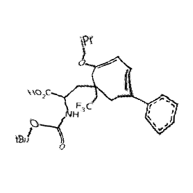 CC(C)OC1=CC=C(c2ccccc2)CC1(CC(NC(=O)OC(C)(C)C)C(=O)O)C(F)(F)F